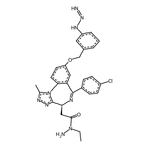 CCN(N)C(=O)C[C@@H]1N=C(c2ccc(Cl)cc2)c2cc(OCc3cccc(NN=N)c3)ccc2-n2c(C)nnc21